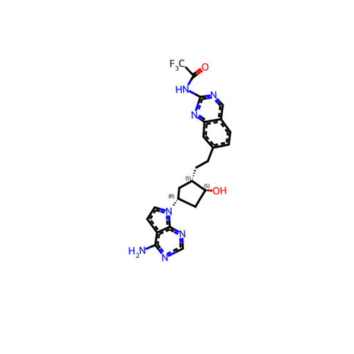 Nc1ncnc2c1ccn2[C@@H]1C[C@H](CCc2ccc3cnc(NC(=O)C(F)(F)F)nc3c2)[C@@H](O)C1